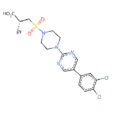 CC(C)[C@@H](CS(=O)(=O)N1CCN(c2ncc(-c3ccc(Cl)c(Cl)c3)cn2)CC1)C(=O)O